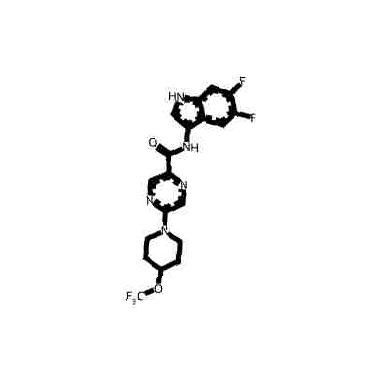 O=C(Nc1c[nH]c2cc(F)c(F)cc12)c1cnc(N2CCC(OC(F)(F)F)CC2)cn1